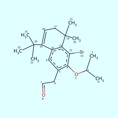 CC(C)Oc1c(CC=O)cc2c(c1Br)C(C)(C)CC=C2C(C)(C)C